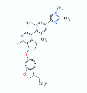 Cc1cc(-c2cn(C)c(C)n2)cc(C)c1-c1ccc(F)c2c1CC[C@H]2Oc1ccc2c(c1)OCC2CC(=O)O